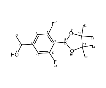 CC(O)c1cc(F)c(B2OC(C)(C)C(C)(C)O2)c(F)c1